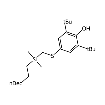 CCCCCCCCCCCC[Si](C)(C)CSc1cc(C(C)(C)C)c(O)c(C(C)(C)C)c1